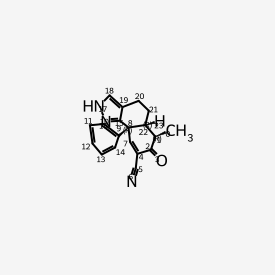 C[C@H]1C(=O)C(C#N)=C[C@]2(c3ccccc3)c3n[nH]cc3CC[C@H]12